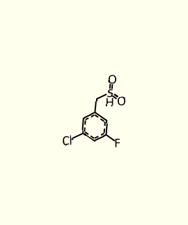 O=[SH](=O)Cc1cc(F)cc(Cl)c1